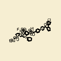 CC(C)(C)OC(=O)N1CCC[C@H]1CC(CSc1ccccc1)Nc1ccc(S(=O)(=O)NC(=O)c2ccc(N3CCC(C(O)c4ccccc4-c4ccc(Cl)cc4)CC3)cc2)cc1S(=O)(=O)C(F)(F)F